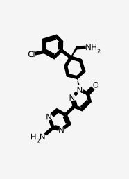 NC[C@]1(c2cccc(Cl)c2)CC[C@@H](n2nc(-c3cnc(N)nc3)ccc2=O)CC1